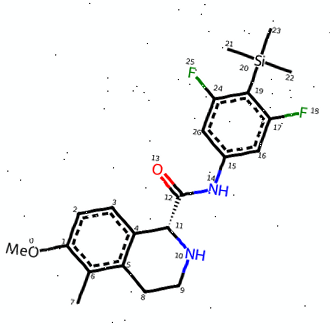 COc1ccc2c(c1C)CCN[C@H]2C(=O)Nc1cc(F)c([Si](C)(C)C)c(F)c1